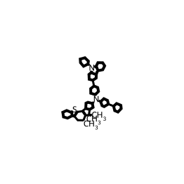 CC1Cc2c(sc3ccccc23)C2=C1C(C)(C)c1cc(N(c3ccc(-c4ccccc4)cc3)c3ccc(-c4ccc5c(c4)c4ccccc4n5-c4ccccc4)cc3)ccc12